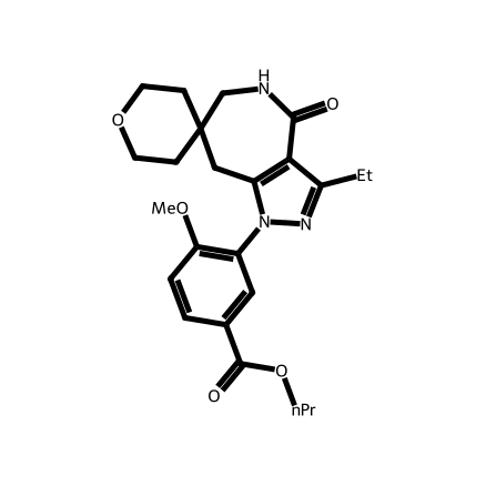 CCCOC(=O)c1ccc(OC)c(-n2nc(CC)c3c2CC2(CCOCC2)CNC3=O)c1